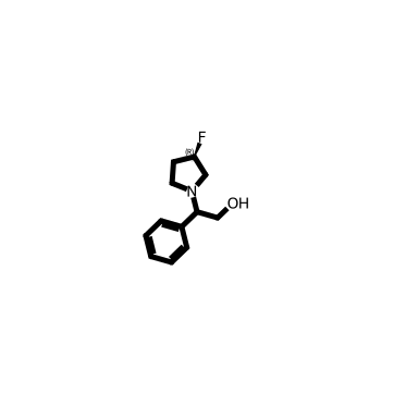 OCC(c1ccccc1)N1CC[C@@H](F)C1